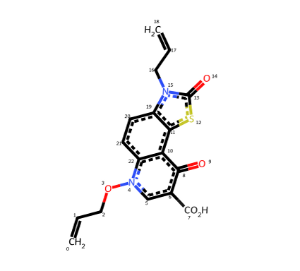 C=CCOn1cc(C(=O)O)c(=O)c2c3sc(=O)n(CC=C)c3ccc21